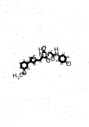 COc1cccc(-c2csc(/C=C3\NC(=O)N(CC(=O)Nc4ccc(Cl)cc4)C3=O)c2)c1